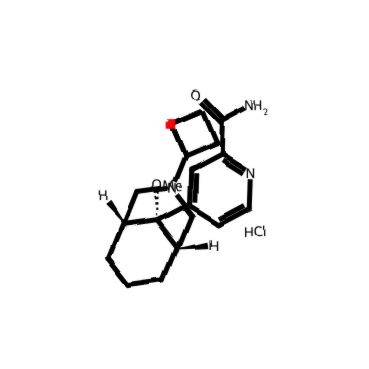 CO[C@@]1(c2ccnc(C(N)=O)c2)[C@@H]2CCC[C@H]1CN(C13CC(C1)C3)C2.Cl